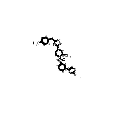 Cc1ccc(Cc2nsc(N3CCN(S(=O)(=O)c4cccc(-c5csc(C)n5)c4)C(C)C3)n2)cc1